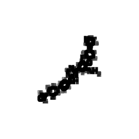 Nc1cc(-c2ncnc(Nc3ccc(N4CCN(C5COC5)CC4)cc3)n2)ccc1O[C@H]1CCN(c2cccnc2)C[C@H]1F